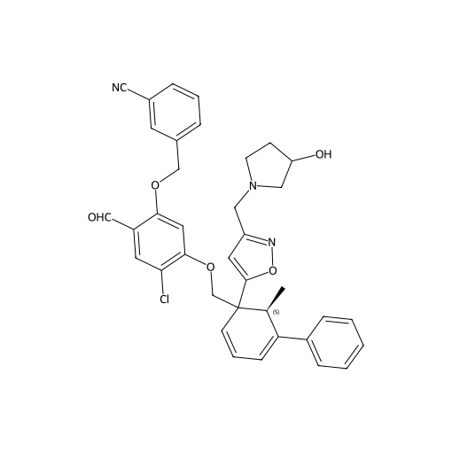 C[C@H]1C(c2ccccc2)=CC=CC1(COc1cc(OCc2cccc(C#N)c2)c(C=O)cc1Cl)c1cc(CN2CCC(O)C2)no1